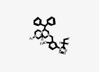 CCOc1ccc(-n2nnnc2C(F)(F)CF)cc1CN1CC(C(c2ccccc2)c2ccccc2)N2CCN(C(C)=O)C[C@H]2C1